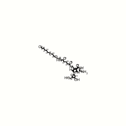 Nc1nc2c(c(CNC(=O)CCCC(=O)NCCOCCOCCCCCCCl)cn2[C@H]2CC(O)[C@@H](CO)O2)c(=O)[nH]1